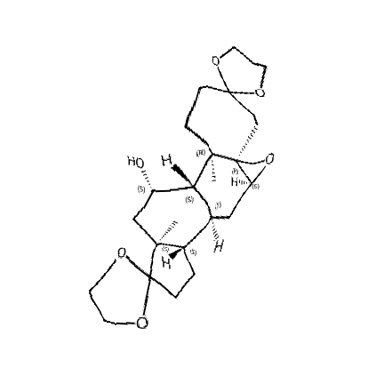 C[C@]12C[C@H](O)[C@H]3[C@@H](C[C@@H]4O[C@@]45CC4(CC[C@]35C)OCCO4)[C@@H]1CCC21OCCO1